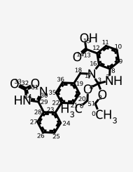 CCOC1(OCC)Nc2cccc(C(=O)O)c2N1Cc1ccc(-c2ccccc2-c2noc(=O)[nH]2)cc1